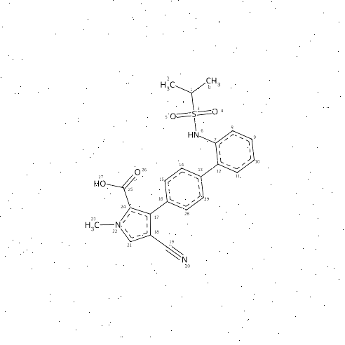 CC(C)S(=O)(=O)Nc1ccccc1-c1ccc(-c2c(C#N)cn(C)c2C(=O)O)cc1